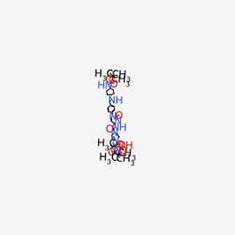 CC(C)(C)OC(=O)N[C@H]1CC[C@H](NCc2ccc(-n3ccc(NC(=O)N4CCN(C(=O)[C@]5(C)CO[C@H](C(C)(C)C)N5C(=O)O)CC4)nc3=O)cc2)CC1